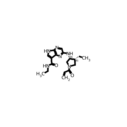 C=CC(=O)N1C[C@@H](CC)[C@@H](Nc2cnc3[nH]cc(C(=O)NCC)c3n2)C1